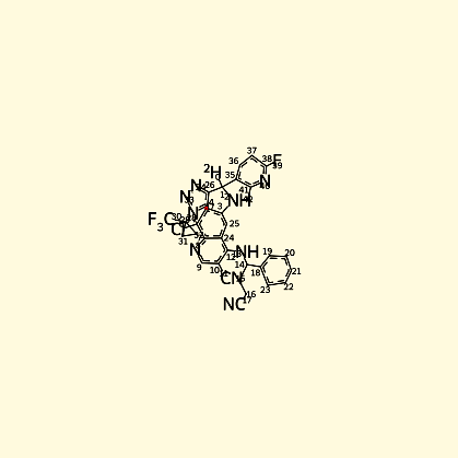 [2H]C(Nc1cc(Cl)c2ncc(C#N)c(NC(CCC#N)c3ccccc3)c2c1)(c1cn(C2(C(F)(F)F)CC2)nn1)c1ccc(F)nc1C